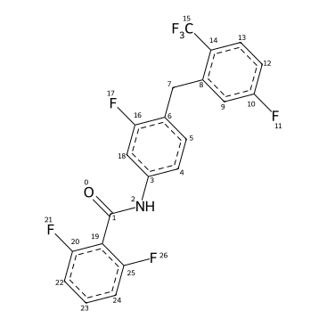 O=C(Nc1ccc(Cc2cc(F)ccc2C(F)(F)F)c(F)c1)c1c(F)cccc1F